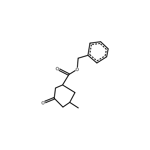 CC1CC(=O)CC(C(=O)OCc2ccccc2)C1